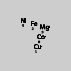 [Co].[Cu].[Fe].[Mg].[Ni]